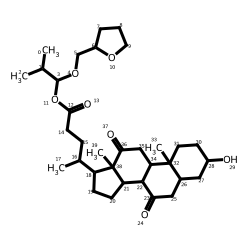 CC(C)C(OCC1CCCO1)OC(=O)CCC(C)C1CCC2C3C(=O)CC4CC(O)CCC4(C)C3CC(=O)C12C